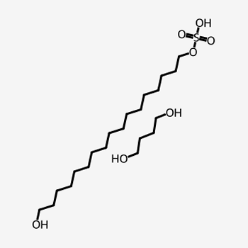 O=S(=O)(O)OCCCCCCCCCCCCCCCCCO.OCCCCO